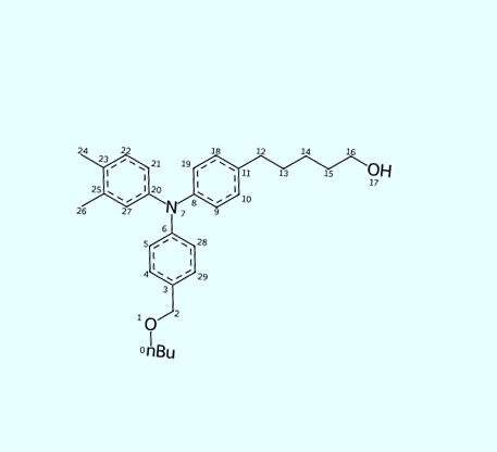 CCCCOCc1ccc(N(c2ccc(CCCCCO)cc2)c2ccc(C)c(C)c2)cc1